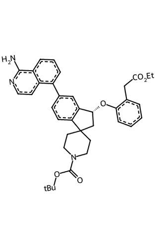 CCOC(=O)Cc1ccccc1O[C@@H]1CC2(CCN(C(=O)OC(C)(C)C)CC2)c2ccc(-c3cccc4c(N)nccc34)cc21